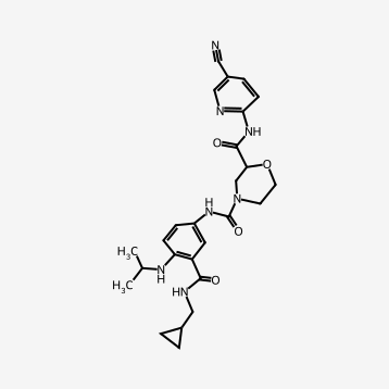 CC(C)Nc1ccc(NC(=O)N2CCOC(C(=O)Nc3ccc(C#N)cn3)C2)cc1C(=O)NCC1CC1